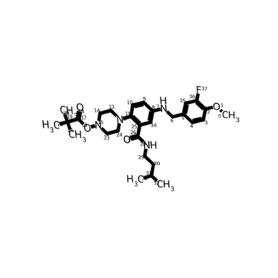 COc1ccc(CNc2ccc(N3CCN(OC(=O)C(C)(C)C)CC3)c(C(=O)NCCC(C)C)c2)cc1F